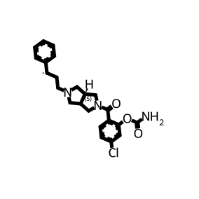 NC(=O)Oc1cc(Cl)ccc1C(=O)N1CC2CN(CC[CH]c3ccccc3)C[C@H]2C1